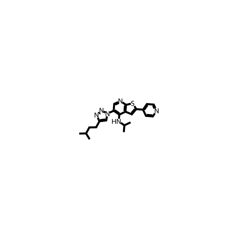 CC(C)CCc1cn(-c2cnc3sc(-c4ccncc4)cc3c2NC(C)C)nn1